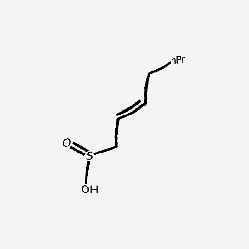 CCCC/C=C/CS(=O)O